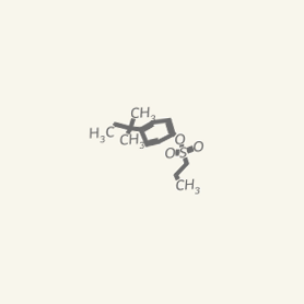 CCCS(=O)(=O)Oc1ccc(C(C)(C)CC)cc1